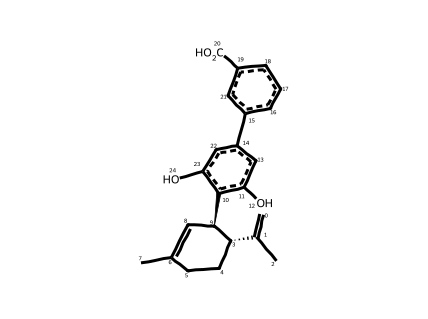 C=C(C)[C@@H]1CCC(C)=C[C@H]1c1c(O)cc(-c2cccc(C(=O)O)c2)cc1O